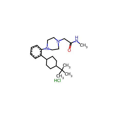 CNC(=O)CN1CCN(c2ccccc2C2CCC(C(C)(C)C)CC2)CC1.Cl